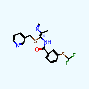 C=N/C(C)=C(/NC(=O)c1cccc(SC(F)F)c1)SCc1cccnc1